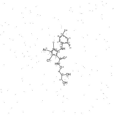 CC(=O)c1c(Cl)c(C(=O)NOCC(O)CO)c(Nc2ccc(I)cc2F)n1C